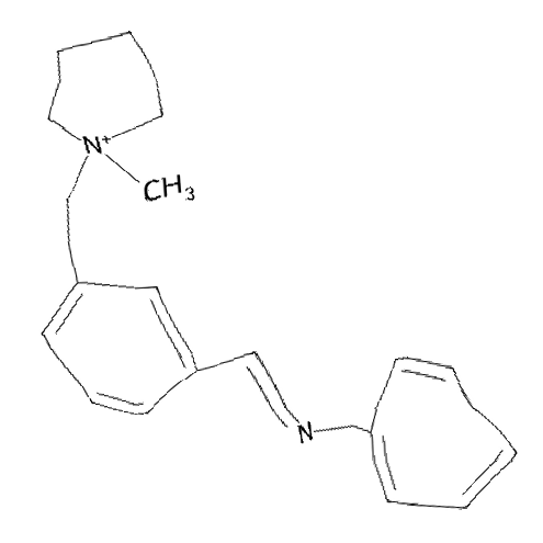 C[N+]1(Cc2cccc(C=Nc3ccccc3)c2)CCCC1